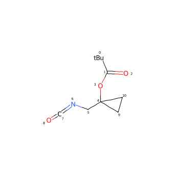 CC(C)(C)C(=O)OC1(CN=C=O)CC1